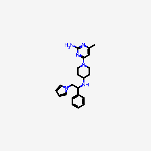 Cc1cc(N2CCC(NC(Cn3cccc3)c3ccccc3)CC2)nc(N)n1